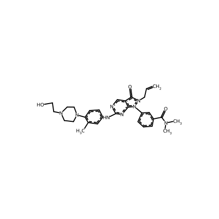 C=CCn1c(=O)c2cnc(Nc3ccc(N4CCN(CCO)CC4)c(C)c3)nc2n1-c1cccc(C(=O)N(C)C)c1